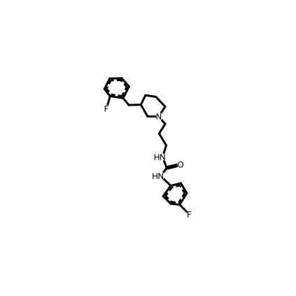 O=C(NCCCN1CCCC(Cc2ccccc2F)C1)Nc1ccc(F)cc1